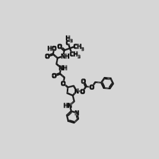 CC(C)(C)C(=O)NC(CNC(=O)COC1CC(CNc2ccccn2)N(OC(=O)OCc2ccccc2)C1)C(=O)O